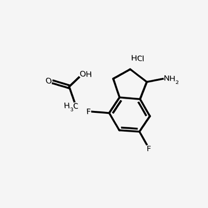 CC(=O)O.Cl.NC1CCc2c(F)cc(F)cc21